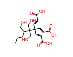 CCCC(CO)C(CO)(CO)C(C=CC(=O)O)(C=CC(=O)O)C=CC(=O)O